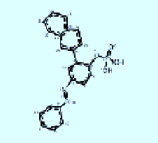 O=P(O)(O)Oc1ccc(/N=N/c2ccccc2)cc1-c1ccc2ccccc2c1